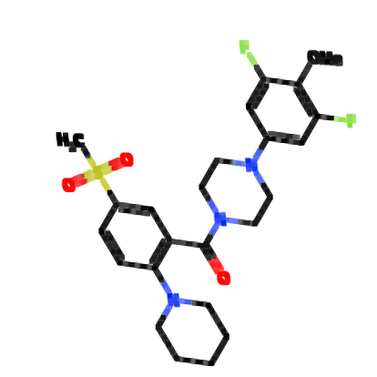 COc1c(F)cc(N2CCN(C(=O)c3cc(S(C)(=O)=O)ccc3N3CCCCC3)CC2)cc1F